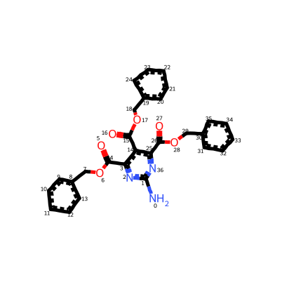 Nc1nc(C(=O)OCc2ccccc2)c(C(=O)OCc2ccccc2)c(C(=O)OCc2ccccc2)n1